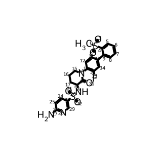 CS(=O)(=O)c1ccccc1-c1ccc(N2CCCC(NS(=O)(=O)c3ccc(N)nc3)C2=O)c(F)c1